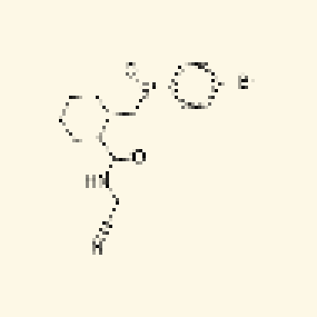 N#CCNC(=O)C1CCCCC1C[S+]([O-])c1ccc(Br)cc1